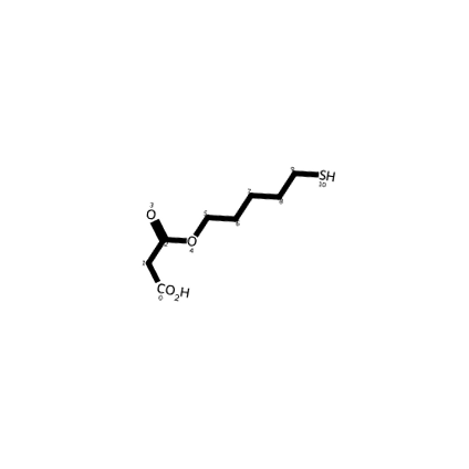 O=C(O)CC(=O)OCCCCCS